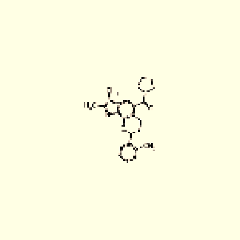 Cc1ccccc1C1CCc2c(C(=O)N3CCCC3)cc3c(nc(C)n3C)c2O1